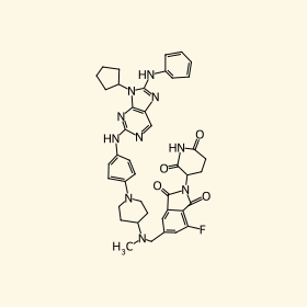 CN(Cc1cc(F)c2c(c1)C(=O)N(C1CCC(=O)NC1=O)C2=O)C1CCN(c2ccc(Nc3ncc4nc(Nc5ccccc5)n(C5CCCC5)c4n3)cc2)CC1